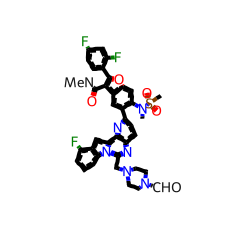 CNC(=O)c1c(-c2ccc(F)cc2F)oc2cc(N(C)S(C)(=O)=O)c(-c3ccc4nc(CN5CCN(C=O)CC5)n5c6cccc(F)c6cc5c4n3)cc12